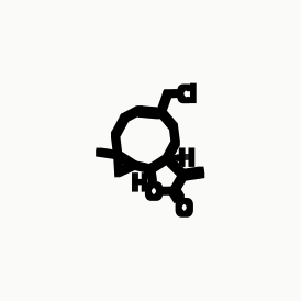 C=C1C(=O)O[C@@H]2C3CC3(C)CC/C=C(/CCl)CC[C@@H]12